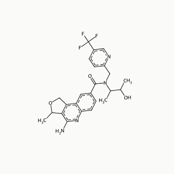 CC1OCc2c1c(N)nc1ccc(C(=O)N(Cc3ccc(C(F)(F)F)cn3)C(C)C(C)O)cc21